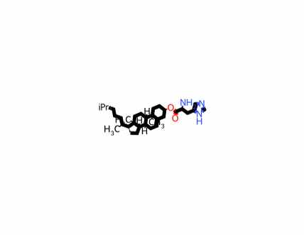 CC(C)CCC[C@@H](C)[C@H]1CC[C@H]2[C@@H]3CC=C4C[C@@H](OC(=O)[C@@H](N)Cc5cnc[nH]5)CC[C@]4(C)[C@H]3CC[C@]12C